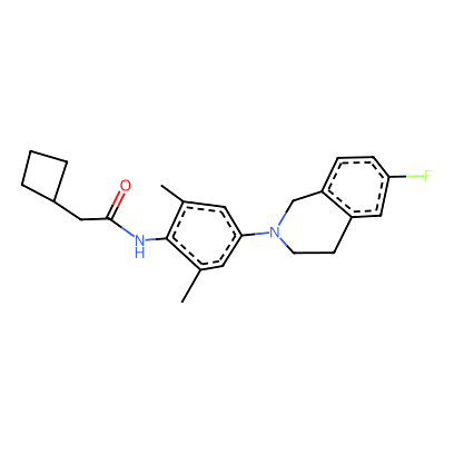 Cc1cc(N2CCc3cc(F)ccc3C2)cc(C)c1NC(=O)CC1CCC1